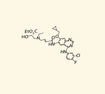 CCOC(=O)[C@H](C)N(C/C=C/C(=O)Nc1cc2c(Nc3ccc(F)c(Cl)c3)ncnc2cc1OCC1CC1)CCO